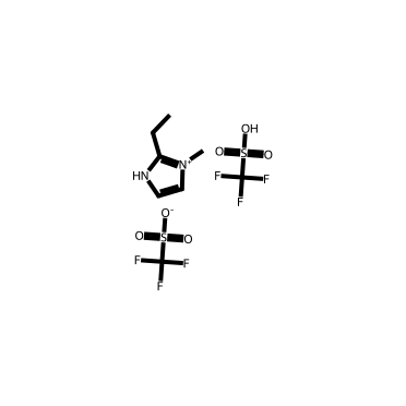 CCc1[nH]cc[n+]1C.O=S(=O)(O)C(F)(F)F.O=S(=O)([O-])C(F)(F)F